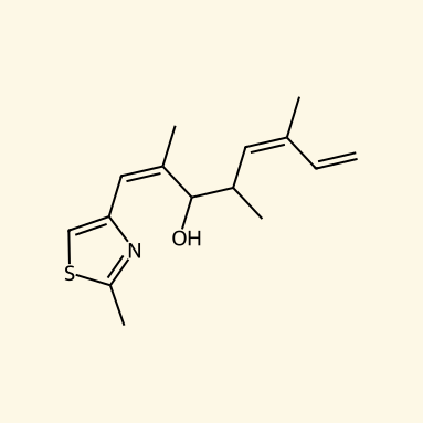 C=CC(C)=CC(C)C(O)C(C)=Cc1csc(C)n1